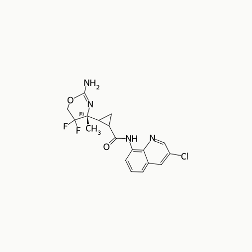 C[C@]1(C2CC2C(=O)Nc2cccc3cc(Cl)cnc23)N=C(N)OCC1(F)F